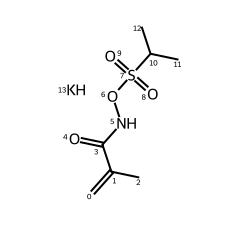 C=C(C)C(=O)NOS(=O)(=O)C(C)C.[KH]